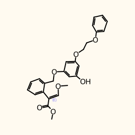 CO/C=C(/C(=O)OC)c1ccccc1COc1cc(O)cc(OCCOc2ccccc2)c1